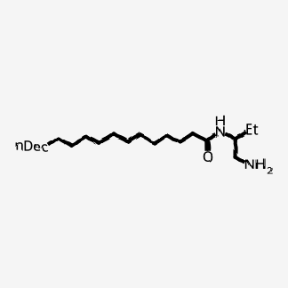 CCCCCCCCCCCCCCCCCCCCCC(=O)NC(CC)CN